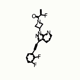 C=C(F)C(=O)N1CC(n2nc(C#Cc3cccc(F)c3F)c3cccnc32)C1